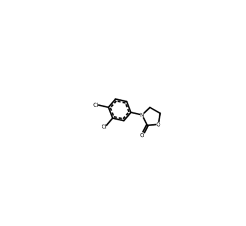 O=C1OCCN1c1ccc(Cl)c(Cl)c1